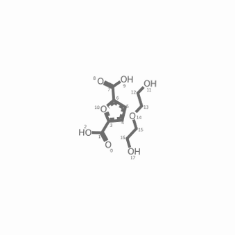 O=C(O)c1ccc(C(=O)O)o1.OCCOCCO